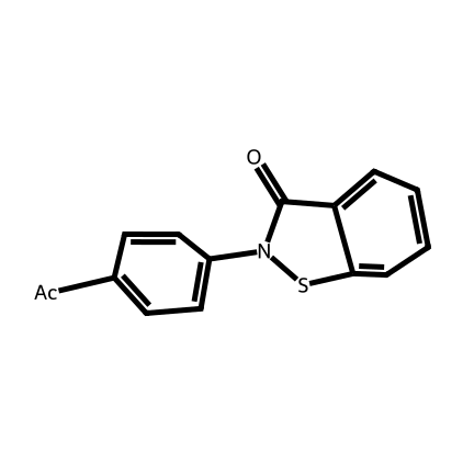 CC(=O)c1ccc(-n2sc3ccccc3c2=O)cc1